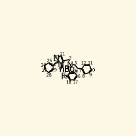 CCCCn1c(CN(CCc2ccccc2)Cc2ccccc2F)cnc1-c1ccccc1